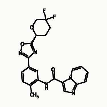 Cc1ccc(-c2noc([C@@H]3CCC(F)(F)CO3)n2)cc1NC(=O)c1cnc2ccccn12